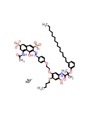 CCCCCCCCCCCCCCCc1cccc(OC(C)(C)C(=O)Nc2cc(OCCOc3ccc(N=Nc4c(S(=O)(=O)[O-])cc5cc(S(=O)(=O)[O-])cc(NC(C)=O)c5c4O)cc3)c(SCCCC)cc2O)c1.[Na+].[Na+]